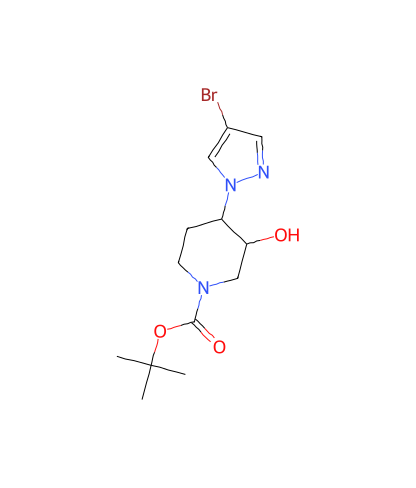 CC(C)(C)OC(=O)N1CCC(n2cc(Br)cn2)C(O)C1